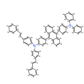 C(=Cc1ccc(N(c2ccc(C=Cc3ccccc3)cc2)c2ccc(-c3c4ccccc4c(-c4ccc(N(c5ccccc5)c5ccccc5)cc4)c4ccccc34)cc2)cc1)c1ccccc1